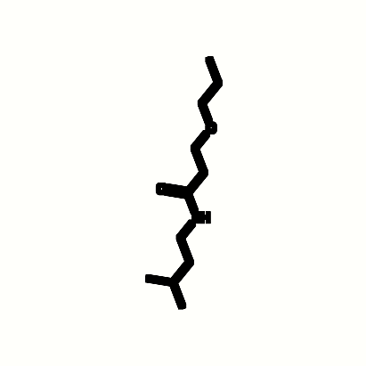 CCCOCCC(=O)NCCC(C)C